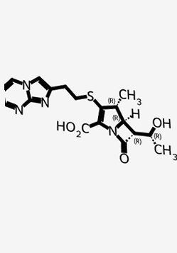 C[C@@H](O)[C@@H]1C(=O)N2C(C(=O)O)=C(SCCc3cn4cccnc4n3)[C@H](C)[C@@H]12